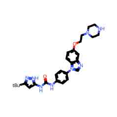 CC(C)(C)c1cc(NC(=O)Nc2ccc(-n3cnc4cc(OCCN5CCNCC5)ccc43)cc2)[nH]n1